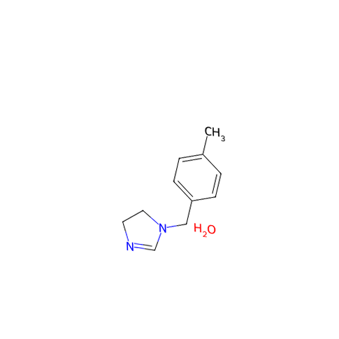 Cc1ccc(CN2C=NCC2)cc1.O